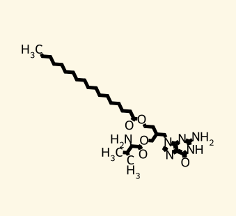 CCCCCCCCCCCCCCCCCC(=O)OCCC(COC(=O)[C@@H](N)C(C)C)Cn1cnc2c(=O)[nH]c(N)nc21